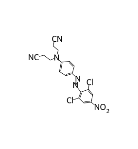 N#CCCN(CCC#N)c1ccc(N=Nc2c(Cl)cc([N+](=O)[O-])cc2Cl)cc1